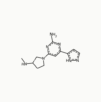 CNC1CCN(c2cc(-c3ccn[nH]3)nc(N)n2)C1